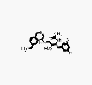 CCc1ccc2c(c1)C(NC[C@H](O)[C@H](Cc1cc(F)cc(F)c1)NC(C)=O)CSC2